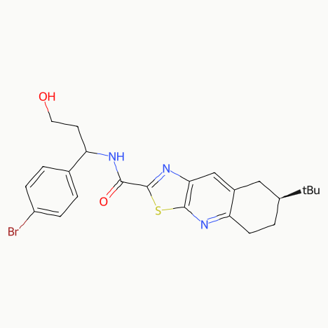 CC(C)(C)[C@H]1CCc2nc3sc(C(=O)NC(CCO)c4ccc(Br)cc4)nc3cc2C1